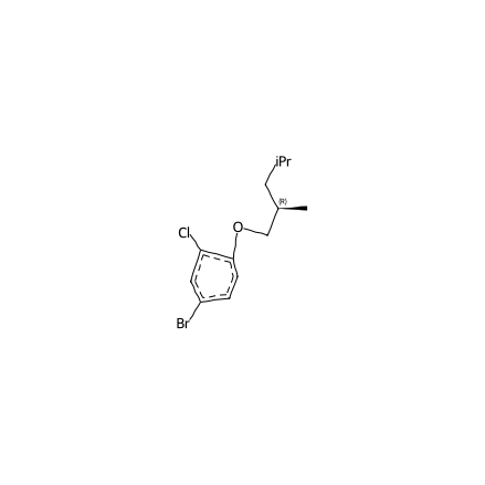 CC(C)C[C@@H](C)COc1ccc(Br)cc1Cl